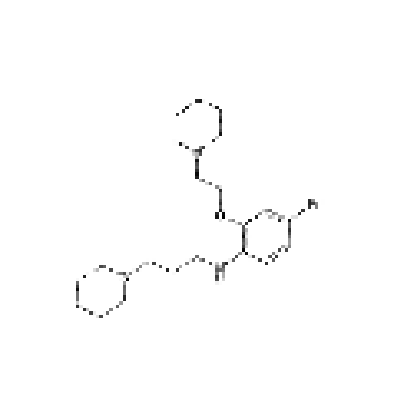 Brc1ccc(NCCCN2CCCCC2)c(OCCN2CCCCC2)c1